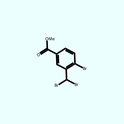 COC(=O)c1ccc(Br)c(C(Br)Br)c1